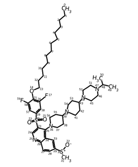 CCCCCCCCCCCCCCOc1c(F)cc(S(=O)(=O)c2cnc3ccc([S+](C)[O-])cc3c2N2CCC(N3CCC(N4CCN(C(C)C)CC4)CC3)CC2)cc1F